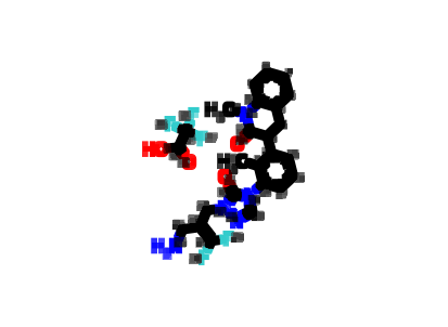 Cc1c(C2Cc3ccccc3N(C)C2=O)cccc1-n1cnn(CC(CN)=C(F)F)c1=O.O=C(O)C(F)(F)F